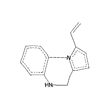 C=Cc1ccc2n1-c1ccccc1NC2